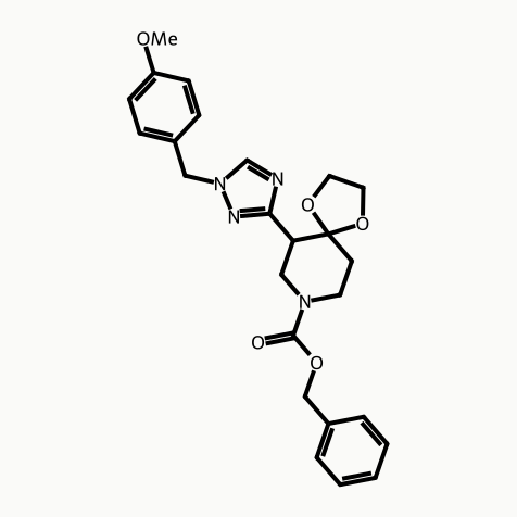 COc1ccc(Cn2cnc(C3CN(C(=O)OCc4ccccc4)CCC34OCCO4)n2)cc1